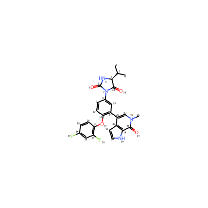 CC(C)[C@@H]1NC(=O)N(c2ccc(Oc3ccc(F)cc3F)c(-c3cn(C)c(=O)c4[nH]ccc34)c2)C1=O